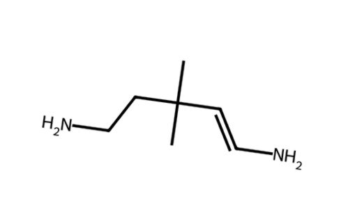 CC(C)(C=CN)CCN